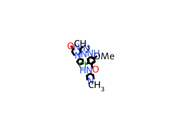 COc1cc(C(=O)NC2CCN(C)CC2)c(Cl)cc1Nc1ncc2c(n1)N(C1CCCC1)CCC(=O)N2C